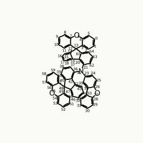 c1ccc2c(c1)Oc1ccccc1C21c2ccccc2-c2c(N(c3ccc4oc5ccccc5c4c3)c3cccc4c3-c3ccccc3C43c4ccccc4Oc4ccccc43)cccc21